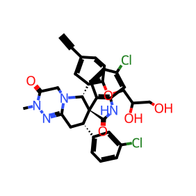 C#Cc1ccc(OCC(O)CO)c([C@H]2N3CC(=O)N(C)N=C3C[C@@H](c3cccc(Cl)c3)[C@]23C(=O)Nc2cc(Cl)ccc23)c1